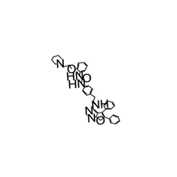 O=C(Nc1ccc(CCNc2ncnc3oc(-c4ccccc4)c(-c4ccccc4)c23)cc1)Nc1ccccc1OCCN1CCCCC1